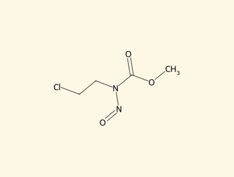 COC(=O)N(CCCl)N=O